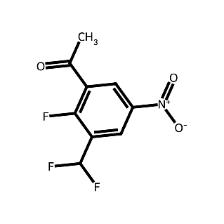 CC(=O)c1cc([N+](=O)[O-])cc(C(F)F)c1F